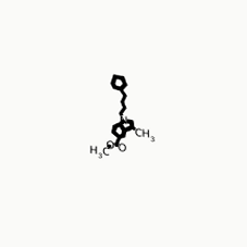 COC(=O)c1ccc2c(c1)c(C)cn2CCCCc1ccccc1